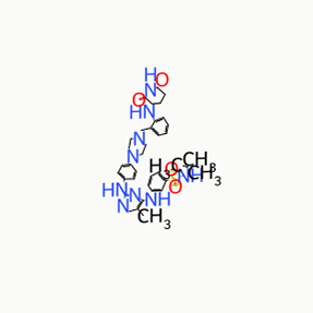 Cc1cnc(Nc2ccc(N3CCN(Cc4ccccc4NC4CCC(=O)NC4=O)CC3)cc2)nc1Nc1cccc(S(=O)(=O)NC(C)(C)C)c1